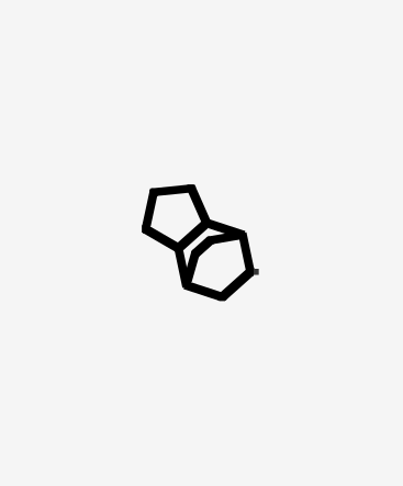 [CH]1CC2CCC1C1CCCC21